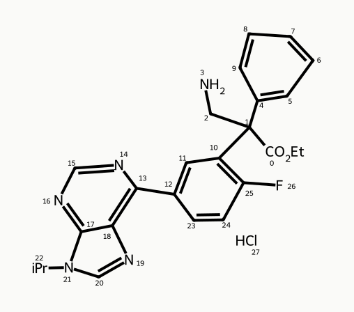 CCOC(=O)C(CN)(c1ccccc1)c1cc(-c2ncnc3c2ncn3C(C)C)ccc1F.Cl